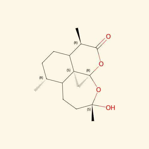 C[C@@H]1CCC2[C@@H](C)C(=O)O[C@]34C[C@]23C1CC[C@@](C)(O)O4